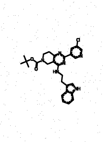 CC(C)(C)OC(=O)N1CCc2nc(-c3cncc(Cl)c3)nc(NCCc3c[nH]c4ccccc34)c2C1